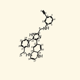 C#Cc1cccc(NCc2nc(C3=CC4NC=CNC4C=C3)c(-c3cccc(CC)n3)[nH]2)c1